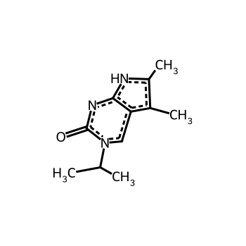 Cc1[nH]c2nc(=O)n(C(C)C)cc2c1C